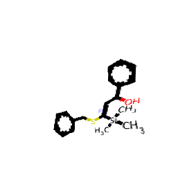 C[Si](C)(C)/C(=C\C(O)c1ccccc1)SCc1ccccc1